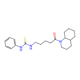 O=C(CCCCNC(=S)Nc1ccccc1)N1CCCC2CCCCC21